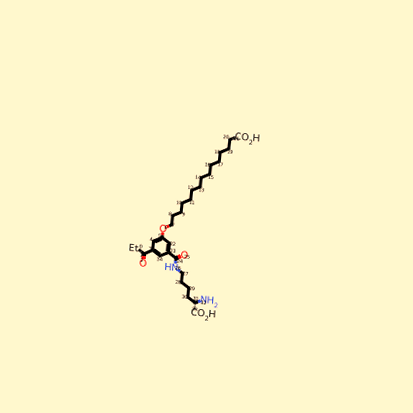 CCC(=O)c1cc(OCCCCCCCCCCCCCCC(=O)O)cc(C(=O)NCCCC[C@H](N)C(=O)O)c1